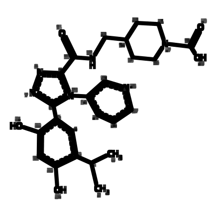 CC(C)c1cc(-c2nnc(C(=O)NCC3CCN(C(=O)O)CC3)n2-c2cccnc2)c(O)cc1O